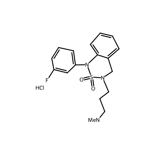 CNCCCN1Cc2ccccc2N(c2cccc(F)c2)S1(=O)=O.Cl